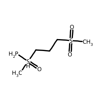 CS(=O)(=O)CCC[SH](C)(=O)P